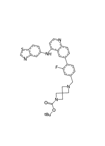 CC(C)(C)OC(=O)N1CC2(CN(Cc3ccc(-c4ccc5nccc(Nc6ccc7scnc7c6)c5c4)c(F)c3)C2)C1